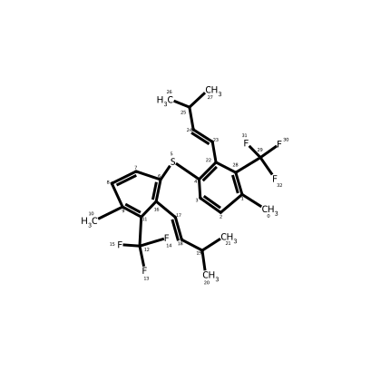 Cc1ccc(Sc2ccc(C)c(C(F)(F)F)c2C=CC(C)C)c(C=CC(C)C)c1C(F)(F)F